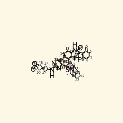 Cc1cccc(F)c1S(=O)(=O)Nc1cccc(-c2nc(N3C4CCC3CN(C3CC(F)(F)C3)C4)sc2-c2ccnc(NC3CC4(C3)CS(=O)(=O)C4)n2)c1F